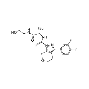 CC(C)(C)[C@H](NC(=O)n1nc(-c2ccc(F)c(F)c2)c2c1COCC2)C(=O)NCCO